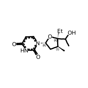 CC[C@@]1(C(C)O)O[C@@H](n2ccc(=O)[nH]c2=O)C[C@@H]1C